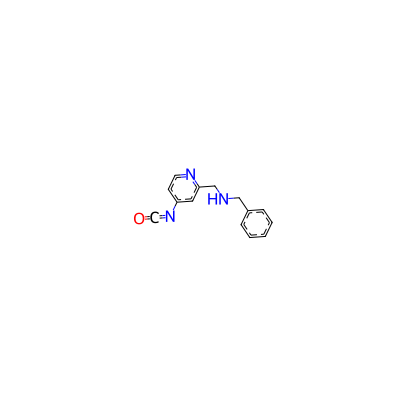 O=C=Nc1ccnc(CNCc2ccccc2)c1